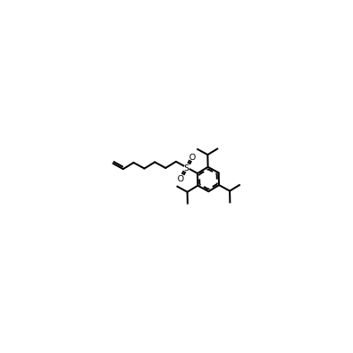 C=CCCCCCS(=O)(=O)c1c(C(C)C)cc(C(C)C)cc1C(C)C